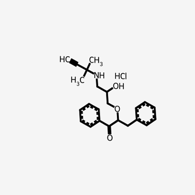 C#CC(C)(C)NCC(O)COC(Cc1ccccc1)C(=O)c1ccccc1.Cl